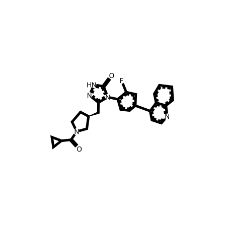 O=C(C1CC1)N1CC[C@@H](Cc2n[nH]c(=O)n2-c2ccc(-c3ccnc4ccccc34)cc2F)C1